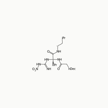 CCCCCCCCCCCC(=O)N[C@](CCC)(NC(=N)N[N+](=O)[O-])C(=O)N[CH]CC(C)C